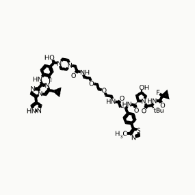 Cc1ncsc1-c1ccc([C@H](CC(=O)NCCOCCOCCNC(=O)CN2CCN(C(O)c3ccc(Nc4nc(C5CC5)cn5c(-c6cn[nH]c6)cnc45)c(F)c3)CC2)NC(=O)[C@@H]2C[C@@H](O)CN2C(=O)[C@@H](NC(=O)C2(F)CC2)C(C)(C)C)cc1